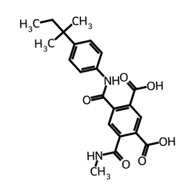 CCC(C)(C)c1ccc(NC(=O)c2cc(C(=O)NC)c(C(=O)O)cc2C(=O)O)cc1